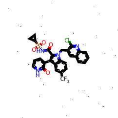 O=C(NS(=O)(=O)C1CC1)c1c(-c2ccc[nH]c2=O)c2cc(C(F)(F)F)ccc2n1Cc1cc2ccccc2nc1Cl